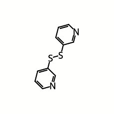 c1cncc(SSc2cccnc2)c1